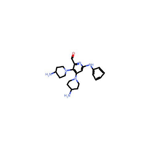 NC1CCN(c2cc(Nc3ccccc3)nc(C=O)c2N2CCC(N)CC2)CC1